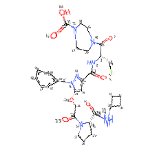 O=C(N[C@@H](CF)C(=O)N1CCN(C(=O)O)CC1)c1cc(OCC(=O)N2CCC[C@H]2C(=O)NC2CCC2)n(-c2ccccc2)n1